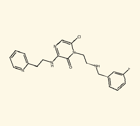 O=c1c(NCCc2ccccn2)ncc(Cl)n1CCNCc1cccc(F)c1